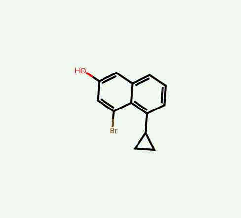 Oc1cc(Br)c2c(C3CC3)cccc2c1